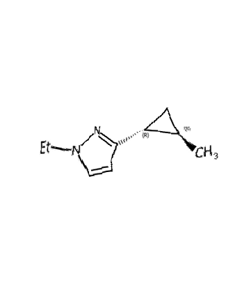 CCn1ccc([C@@H]2C[C@H]2C)n1